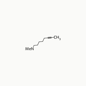 CC#CCCCCCNC